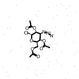 CC(=O)OC[C@H]1O[C@@H](Cl)[C@H](OC(C)=O)[C@@H](N=[N+]=[N-])[C@H]1OC(C)=O